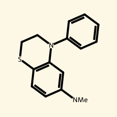 CNc1ccc2c(c1)N(c1ccccc1)CCS2